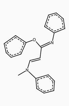 CN(C=CC(=Nc1ccccc1)Oc1ccccc1)c1ccccc1